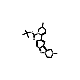 CC1CC=C(c2ccc3nn4c(c3c2)CN(C)CC4)N(C(=O)OC(C)(C)C)C1